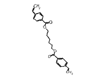 C=Cc1ccc(C(=O)OCCCCCCOC(=O)c2ccc(C=C)cc2)cc1